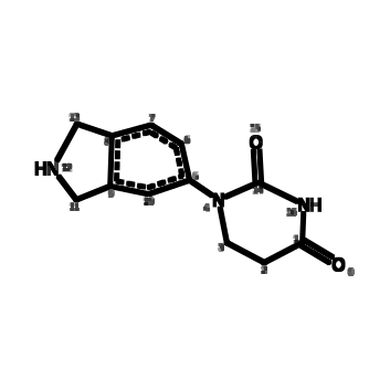 O=C1CCN(c2ccc3c(c2)CNC3)C(=O)N1